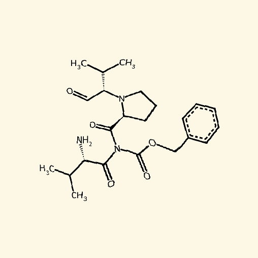 CC(C)[C@H](N)C(=O)N(C(=O)OCc1ccccc1)C(=O)[C@@H]1CCCN1[C@H](C=O)C(C)C